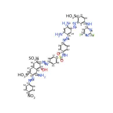 Nc1cc(N)c(/N=N/c2cc(Nc3cc(F)nc(F)n3)ccc2S(=O)(=O)O)cc1/N=N/c1ccc(NS(=O)(=O)c2ccc(/N=N/c3c(S(=O)(=O)O)cc4cc(S(=O)(=O)O)c(/N=N/c5ccc([N+](=O)[O-])cc5)c(N)c4c3O)cc2)cc1